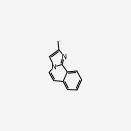 [CH2]c1cn2ccc3ccccc3c2n1